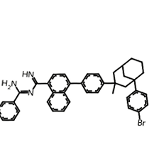 CC1(c2ccc(-c3ccc(C(=N)/N=C(\N)c4ccccc4)c4ccccc34)cc2)CC2CCCC(c3ccc(Br)cc3)(C2)C1